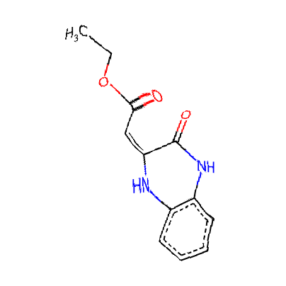 CCOC(=O)C=C1Nc2ccccc2NC1=O